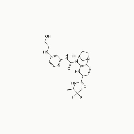 C[C@@H](NC(=O)C1C=CC2=C(N1)N(C(=O)Nc1cc(NCCO)ccn1)[C@H]1CCN2C1)C(F)(F)F